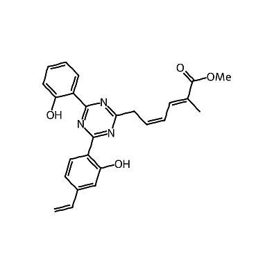 C=Cc1ccc(-c2nc(C/C=C\C=C(/C)C(=O)OC)nc(-c3ccccc3O)n2)c(O)c1